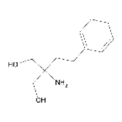 NC(CO)(CO)CCC1=CC[CH]C=C1